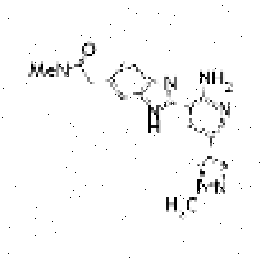 CNC(=O)Cc1ccc2nc(-c3cc(-c4cnn(C)c4)cnc3N)[nH]c2c1